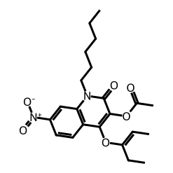 CC=C(CC)Oc1c(OC(C)=O)c(=O)n(CCCCCC)c2cc([N+](=O)[O-])ccc12